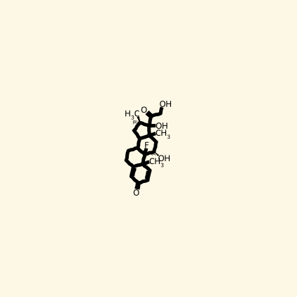 C[C@@H]1CC2C3CCC4=CC(=O)C=CC4(C)C3(F)[C@@H](O)CC2(C)C1(O)C(=O)CO